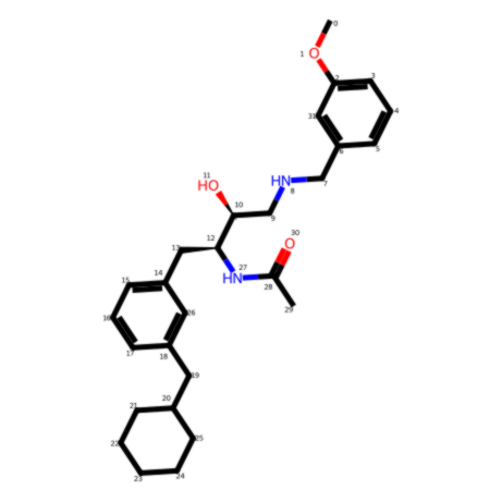 COc1cccc(CNC[C@H](O)[C@H](Cc2cccc(CC3CCCCC3)c2)NC(C)=O)c1